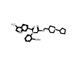 COc1ccccc1N(CC(=O)NCC1CCN(C2CCCC2)CC1)C(=O)c1ccc2c(C)c[nH]c2c1